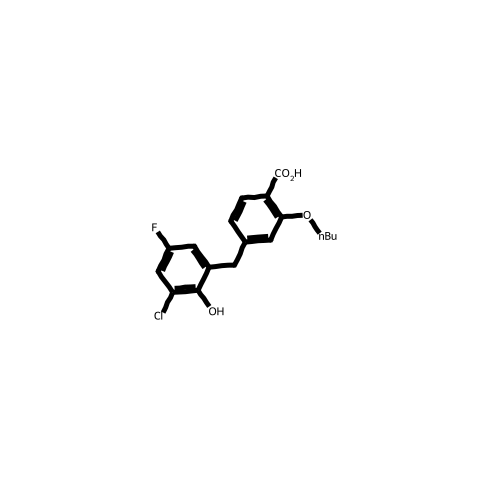 CCCCOc1cc(Cc2cc(F)cc(Cl)c2O)ccc1C(=O)O